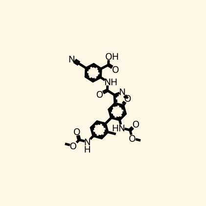 COC(=O)Nc1ccc(-c2cc3c(C(=O)Nc4ccc(C#N)cc4C(=O)O)noc3cc2NC(=O)OC)c(C)c1